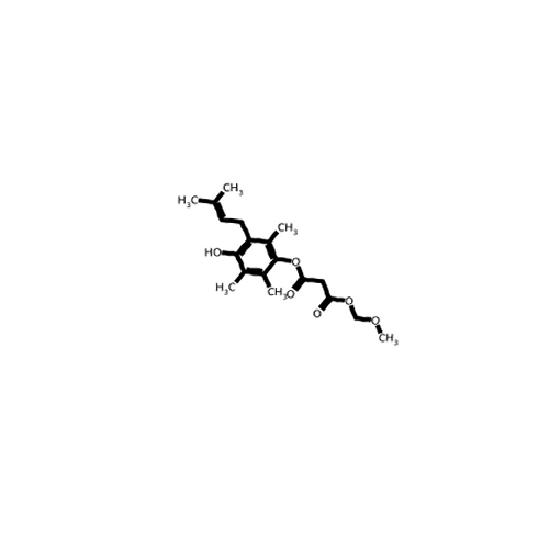 COCOC(=O)CC(=O)Oc1c(C)c(C)c(O)c(CC=C(C)C)c1C